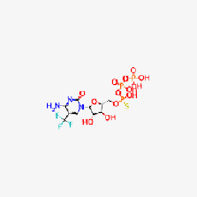 Nc1nc(=O)n([C@@H]2O[C@H](COP(O)(=S)OP(=O)(O)OP(=O)(O)O)C(O)[C@@H]2O)cc1C(F)(F)F